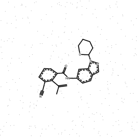 C=C(C)c1c(C#N)cccc1C(=O)Nc1ccc2cnn(C3CCCCO3)c2c1